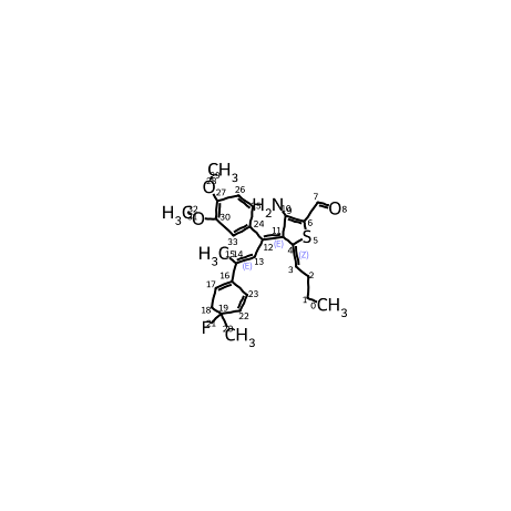 CCC\C=c1/sc(C=O)c(N)/c1=C(/C=C(\C)C1=CCC(C)(F)C=C1)c1ccc(OC)c(OC)c1